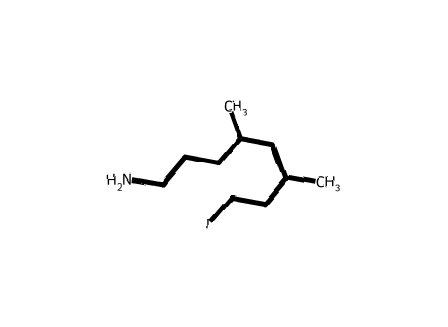 CC(CCI)CC(C)CCCN